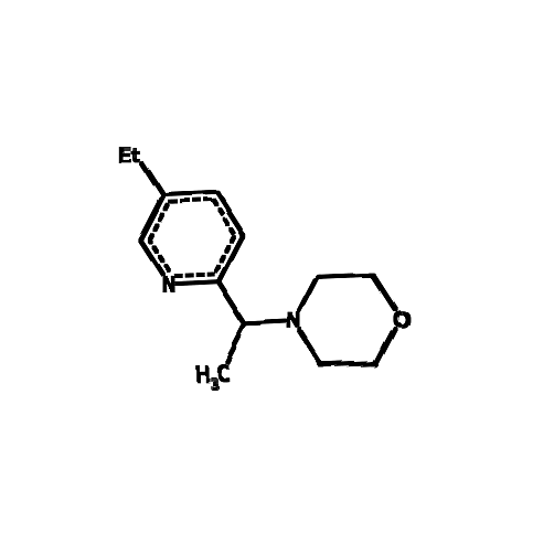 CCc1ccc(C(C)N2CCOCC2)nc1